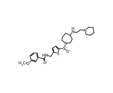 COc1cccc(C(=O)NCc2ccc([S+]([O-])N3CCCC(NCCN4CCCCC4)CC3)s2)c1